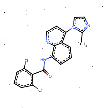 Cc1nccn1-c1ccnc2c(NC(=O)c3c(Cl)cccc3Cl)cccc12